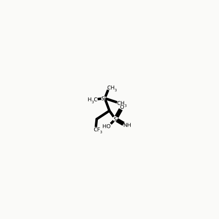 C[Si](C)(C)C(CC(F)(F)F)S(=N)(=O)O